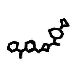 O=C(c1cc(OC2CN(C(=O)N3CCCN(C4CCC4)CC3)C2)ccn1)N1CCCCC1